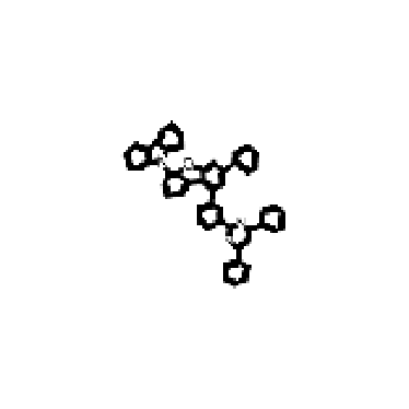 c1ccc(-c2cc(-c3cccc(-c4nc(-c5ccccc5)cc(-c5ccccc5)n4)c3)c3c(c2)oc2c(-n4c5ccccc5c5ccccc54)cccc23)cc1